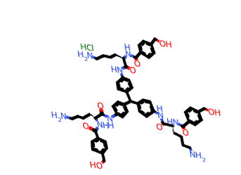 Cl.NCCCC[C@@H](NC(=O)c1ccc(CO)cc1)C(=O)Nc1ccc(C(c2ccc(NC(=O)[C@@H](CCCCN)NC(=O)c3ccc(CO)cc3)cc2)c2ccc(NC(=O)[C@@H](CCCCN)NC(=O)c3ccc(CO)cc3)cc2)cc1